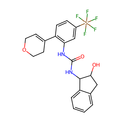 O=C(Nc1cc(S(F)(F)(F)(F)F)ccc1C1=CCOCC1)NC1c2ccccc2CC1O